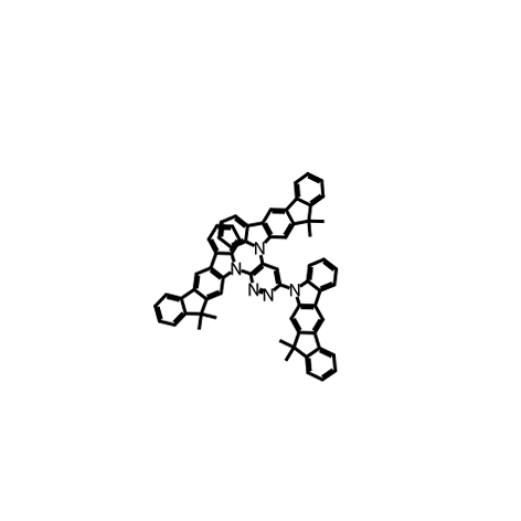 CC1(C)c2ccccc2-c2cc3c4ccccc4n(-c4cc(-n5c6ccccc6c6cc7c(cc65)C(C)(C)c5ccccc5-7)c(-n5c6ccccc6c6cc7c(cc65)C(C)(C)c5ccccc5-7)nn4)c3cc21